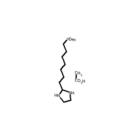 CC(=O)O.CCCCCCCCCCCCCCCCCC1NCCN1